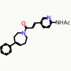 CC(=O)Nc1ccc(/C=C/C(=O)N2CCC=C(c3ccccc3)CC2)cn1